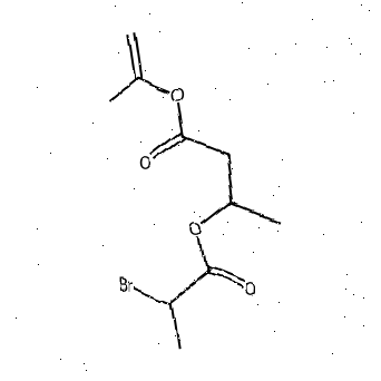 C=C(C)OC(=O)CC(C)OC(=O)C(C)Br